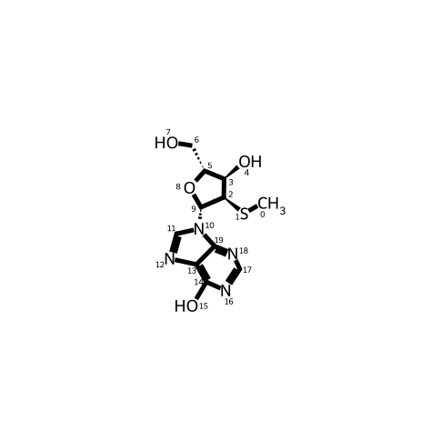 CS[C@@H]1[C@H](O)[C@@H](CO)O[C@H]1n1cnc2c(O)ncnc21